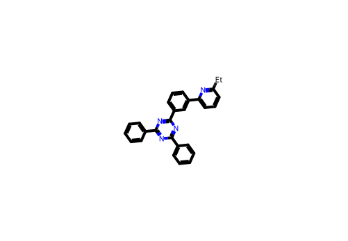 CCc1cccc(-c2cccc(-c3nc(-c4ccccc4)nc(-c4ccccc4)n3)c2)n1